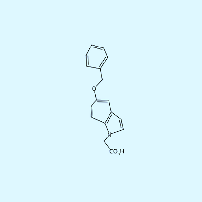 O=C(O)Cn1ccc2cc(OCc3ccccc3)ccc21